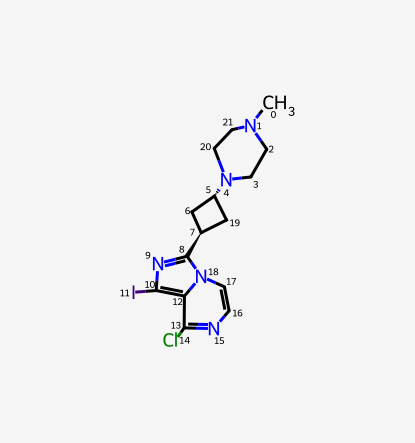 CN1CCN([C@H]2C[C@H](c3nc(I)c4c(Cl)nccn43)C2)CC1